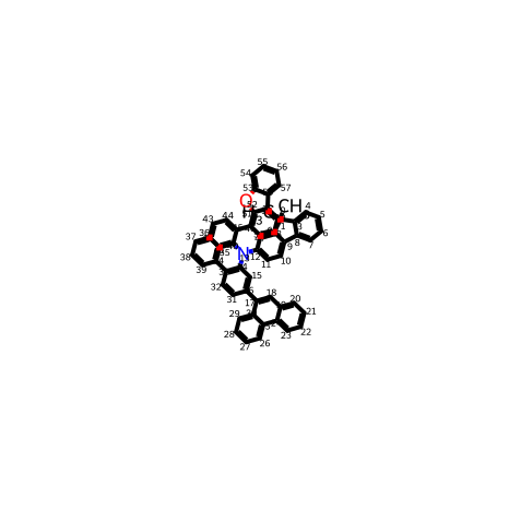 CC1(C)c2ccccc2-c2ccc(N(c3cc(-c4cc5ccccc5c5ccccc45)ccc3-c3ccccc3)c3ccccc3-c3cccc4c3oc3ccccc34)cc21